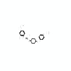 O=Cc1ccc(OC2CCC(NC(=O)Nc3ccc(OC(F)(F)F)cc3)CC2)cc1